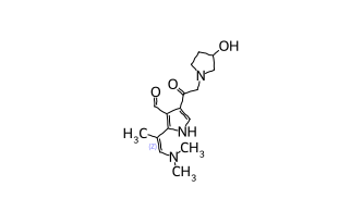 C/C(=C/N(C)C)c1[nH]cc(C(=O)CN2CCC(O)C2)c1C=O